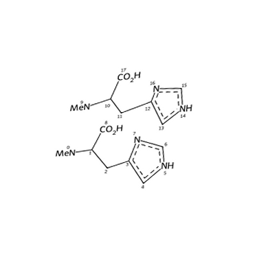 CNC(Cc1c[nH]cn1)C(=O)O.CNC(Cc1c[nH]cn1)C(=O)O